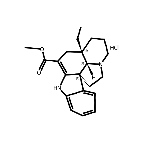 CC[C@]12CCCN3CC[C@]4(C(=C(C(=O)OC)C1)Nc1ccccc14)[C@@H]32.Cl